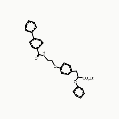 CCOC(=O)C(Cc1ccc(OCCNC(=O)c2ccc(-c3ccccc3)cc2)cc1)Oc1ccccc1